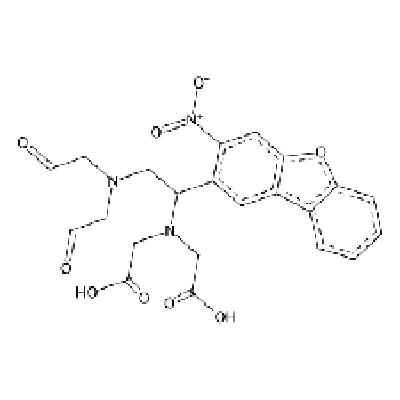 O=CCN(CC=O)CC(c1cc2c(cc1[N+](=O)[O-])oc1ccccc12)N(CC(=O)O)CC(=O)O